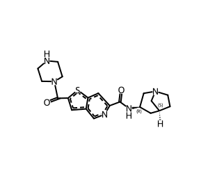 O=C(N[C@@H]1C[C@@H]2CCN(C2)C1)c1cc2sc(C(=O)N3CCNCC3)cc2cn1